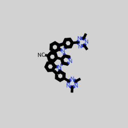 Cc1nc(C)nc(-c2ccc3c4ccccc4n(-c4cncc(-n5c6ccccc6c6ccc(-c7nc(C)nc(C)n7)cc65)c4-c4ccc(C#N)cc4)c3c2)n1